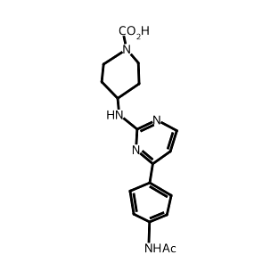 CC(=O)Nc1ccc(-c2ccnc(NC3CCN(C(=O)O)CC3)n2)cc1